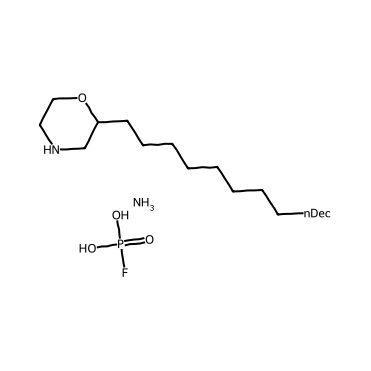 CCCCCCCCCCCCCCCCCCC1CNCCO1.N.O=P(O)(O)F